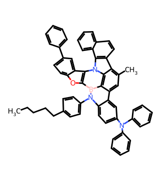 CCCCCc1ccc(N2B3c4oc5ccc(-c6ccccc6)cc5c4-n4c5c3c(cc(C)c5c3ccc5ccccc5c34)-c3cc(N(c4ccccc4)c4ccccc4)ccc32)cc1